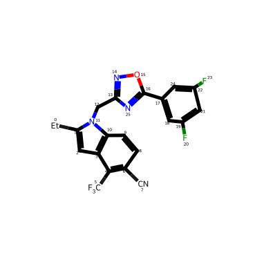 CCc1cc2c(C(F)(F)F)c(C#N)ccc2n1Cc1noc(-c2cc(F)cc(F)c2)n1